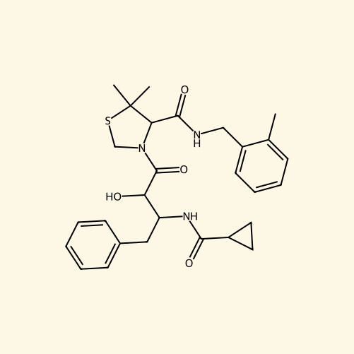 Cc1ccccc1CNC(=O)C1N(C(=O)C(O)C(Cc2ccccc2)NC(=O)C2CC2)CSC1(C)C